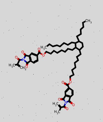 C=C(C)C(=O)N1C(=O)c2ccc(C(=O)OCCCCCCCCC3CCC(CCCCCC)C(CCCCCCCC)C3CCCCCCCCOC(=O)c3ccc4c(c3)C(=O)N(C(=O)C(=C)C)C4=O)cc2C1=O